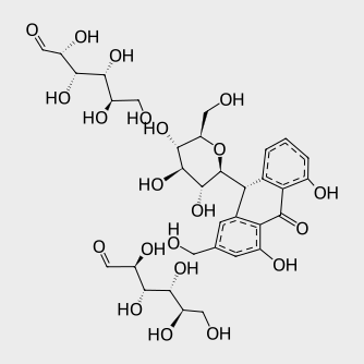 O=C1c2c(O)cccc2[C@@H]([C@@H]2O[C@H](CO)[C@@H](O)[C@H](O)[C@H]2O)c2cc(CO)cc(O)c21.O=C[C@@H](O)[C@@H](O)[C@H](O)[C@H](O)CO.O=C[C@H](O)[C@@H](O)[C@H](O)[C@H](O)CO